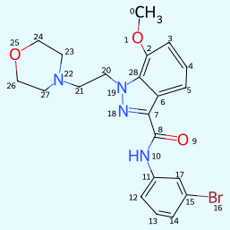 COc1cccc2c(C(=O)Nc3cccc(Br)c3)nn(CCN3CCOCC3)c12